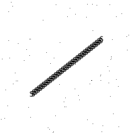 S=S=S=S=S=S=S=S=S=S=S=S=S=S=S=S=S=S=S=S=S=S=S=S=S=S=S=S=S=S=S=S=S=S=S=S=S=S=S=S=S=S=S=S=S=S=S=S=S=S=S=S=S=S=S=S=S=S=S